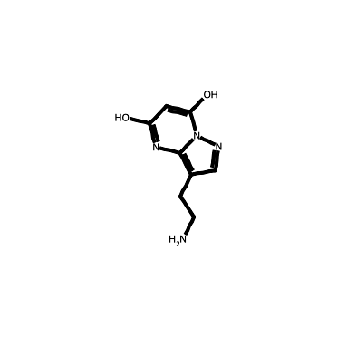 NCCc1cnn2c(O)cc(O)nc12